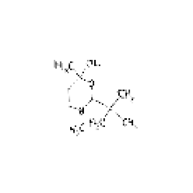 CN1CCC(C)(C)OC1C(C)(C)C